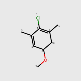 COC1C=C(C)C(Cl)=C(C)C1